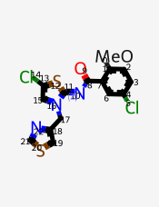 COc1ccc(Cl)cc1C(=O)/N=c1\sc(Cl)cn1Cc1cscn1